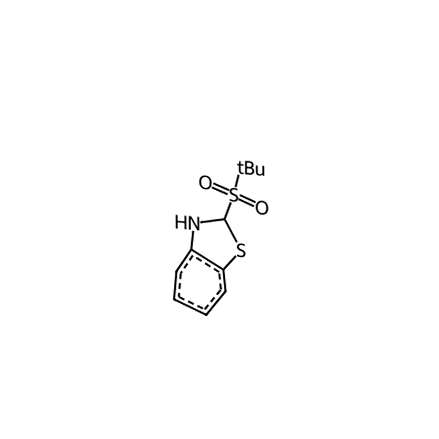 CC(C)(C)S(=O)(=O)C1Nc2ccccc2S1